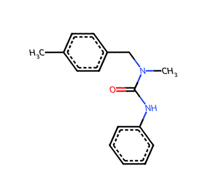 Cc1ccc(CN(C)C(=O)Nc2ccccc2)cc1